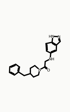 O=C(CNc1ccc2[nH]ncc2c1)N1CCC(Cc2ccccc2)CC1